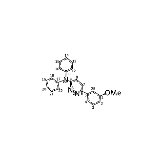 COc1cccc(-c2ccc(N(c3ccccc3)c3ccccc3)nn2)c1